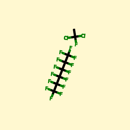 CC(F)(Cl)Cl.FC(F)(F)C(F)(F)C(F)(F)C(F)(F)C(F)(F)C(F)(F)F